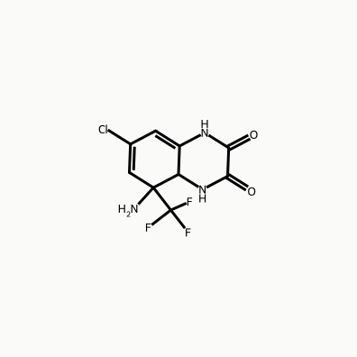 NC1(C(F)(F)F)C=C(Cl)C=C2NC(=O)C(=O)NC21